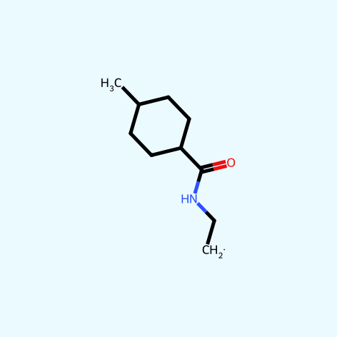 [CH2]CNC(=O)C1CCC(C)CC1